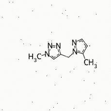 Cc1[c]cnn1Cc1cn(C)nn1